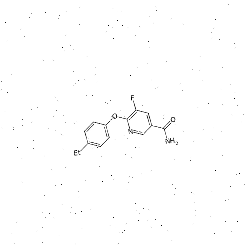 CCc1ccc(Oc2ncc(C(N)=O)cc2F)cc1